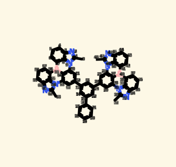 Cc1nc2cccc3c2n1-c1cc(-c2cc(-c4ccccc4)cc(-c4cc5c6c(c4)-n4c(C)nc7cccc(c74)B6c4cccc6nc(C)n-5c46)c2)cc2c1B3c1cccc3nc(C)n-2c13